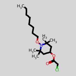 CCCCCCCCON1C(C)(C)CC(OC(=O)CCl)CC1(C)C